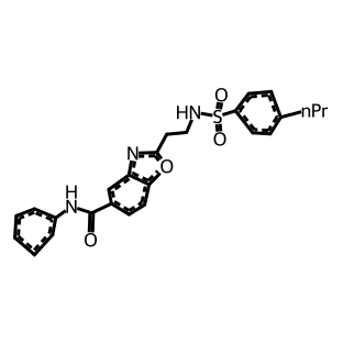 CCCc1ccc(S(=O)(=O)NCCc2nc3cc(C(=O)Nc4ccccc4)ccc3o2)cc1